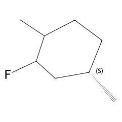 CC1CC[C@H](C)CC1F